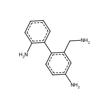 NCc1cc(N)ccc1-c1ccccc1N